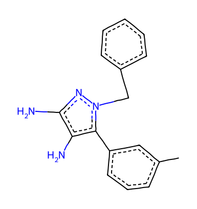 Cc1cccc(-c2c(N)c(N)nn2Cc2ccccc2)c1